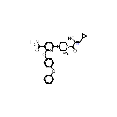 C[C@H]1CN(c2ccc(C(N)=O)c(Oc3ccc(Oc4ccccc4)cc3)n2)CCN1C(=O)/C(C#N)=C/C1CC1